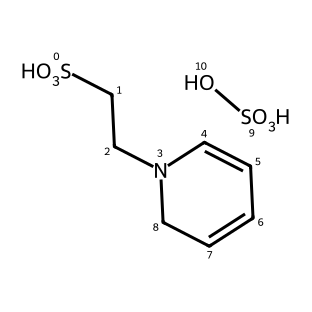 O=S(=O)(O)CCN1C=CC=CC1.O=S(=O)(O)O